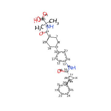 CC(C)(NC(=O)C1CCC(c2ccc(NC(=O)[C@@H]3C[C@H]3c3ccccc3)cc2)CC1)C(=O)O